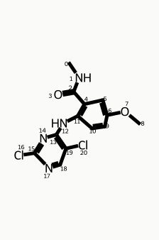 CNC(=O)c1cc(OC)ccc1Nc1nc(Cl)ncc1Cl